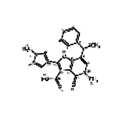 CC(c1ccccc1)c1cn(C)c(=O)c2c(C(=O)O)c(-c3cnn(C)c3)oc12